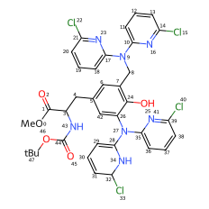 COC(=O)C(Cc1cc(CN(c2cccc(Cl)n2)c2cccc(Cl)n2)c(O)c(N(C2=CC=CC(Cl)N2)c2cccc(Cl)n2)c1)NC(=O)OC(C)(C)C